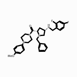 COc1ccc(N2CCN(C(=O)[C@@H]3C[C@H](NCc4ccc(F)cc4F)CN3Cc3ccccc3)CC2)cc1